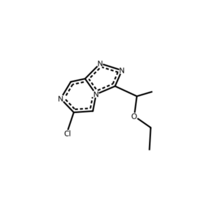 CCOC(C)c1nnc2cnc(Cl)cn12